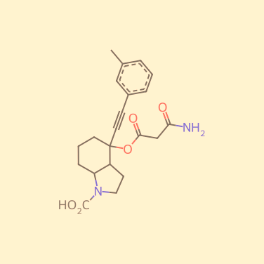 Cc1cccc(C#CC2(OC(=O)CC(N)=O)CCCC3C2CCN3C(=O)O)c1